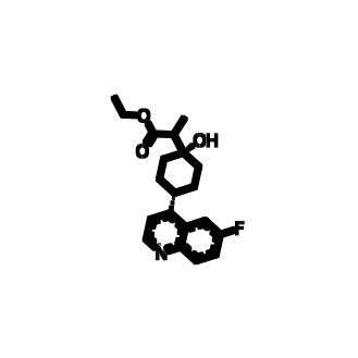 CCOC(=O)C(C)[C@]1(O)CC[C@H](c2ccnc3ccc(F)cc32)CC1